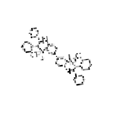 FC(F)(F)c1ccccc1-c1nc2cc(-c3ccc4nc(-c5ccccc5)c(-c5ccccc5C(F)(F)F)nc4c3)ccc2nc1-c1ccccc1